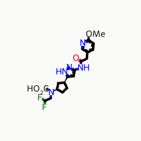 COc1ccc(CC(=O)Nc2cc([C@H]3CC[C@@H](N(CC(F)F)C(=O)O)C3)[nH]n2)cn1